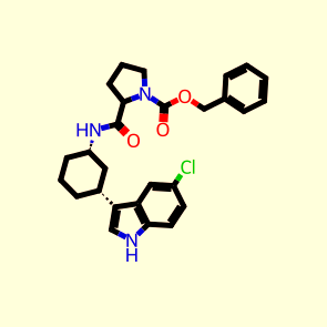 O=C(N[C@H]1CCC[C@@H](c2c[nH]c3ccc(Cl)cc23)C1)C1CCCN1C(=O)OCc1ccccc1